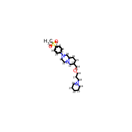 CS(=O)(=O)c1ccc(N2CCN3CC(COCCCN4CCCCC4)CCC3C2)cc1